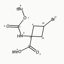 COC(=O)C1(NC(=O)OC(C)(C)C)CC(Br)C1